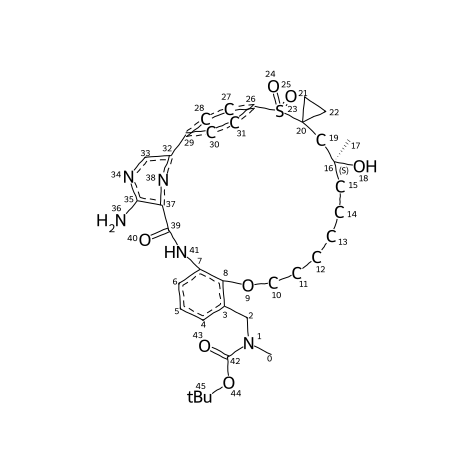 CN(Cc1cccc2c1OCCCCCC[C@](C)(O)CC1(CC1)S(=O)(=O)c1ccc(cc1)-c1cnc(N)c(n1)C(=O)N2)C(=O)OC(C)(C)C